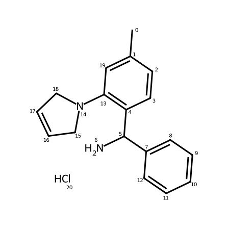 Cc1ccc(C(N)c2ccccc2)c(N2CC=CC2)c1.Cl